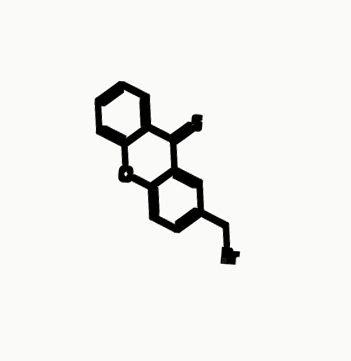 S=c1c2ccccc2oc2ccc(CBr)cc12